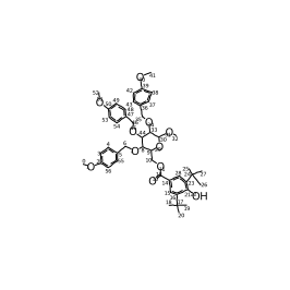 COc1ccc(COC2C(COC(=O)c3cc(C(C)(C)C)c(O)c(C(C)(C)C)c3)OC(OC)C(OCc3ccc(OC)cc3)C2OCc2ccc(OC)cc2)cc1